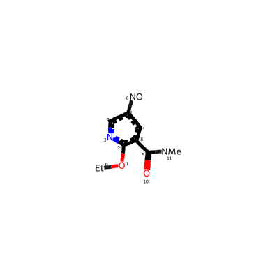 CCOc1ncc(N=O)cc1C(=O)NC